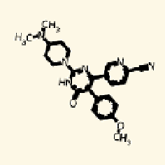 COc1ccc(-c2c(-c3ccc(C#N)nc3)nc(N3CCC(N(C)C)CC3)[nH]c2=O)cc1